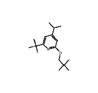 CC(C)c1cc(OCC(C)(C)C)nc(C(C)(C)C)c1